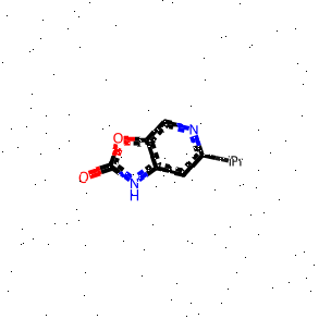 CC(C)c1cc2[nH]c(=O)oc2cn1